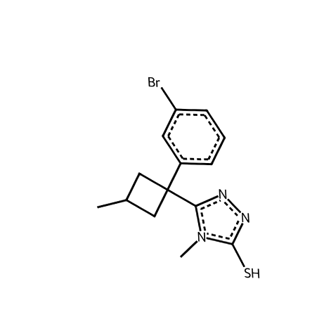 CC1CC(c2cccc(Br)c2)(c2nnc(S)n2C)C1